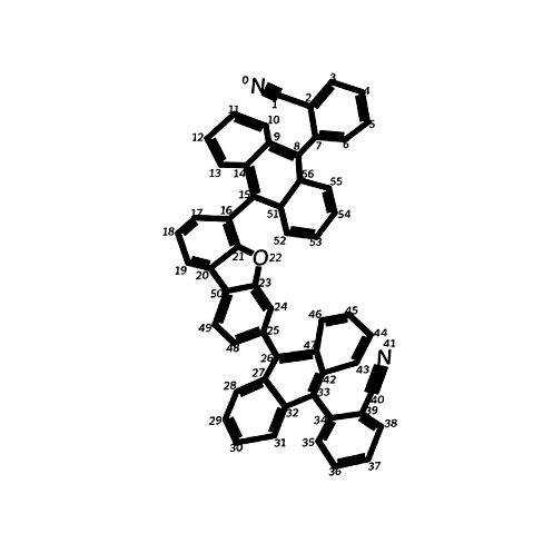 N#Cc1ccccc1C1=c2ccccc2=C(c2cccc3c2oc2cc(-c4c5ccccc5c(-c5ccccc5C#N)c5ccccc45)ccc23)C2C=CC=CC12